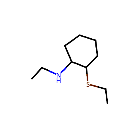 CCNC1CCCCC1SCC